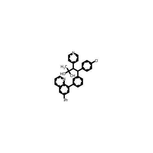 CC(C)c1cc(-c2cccc(C(c3ccc(Cl)cc3)C(c3ccncc3)C(C)(C)O)c2)c2ncccc2c1